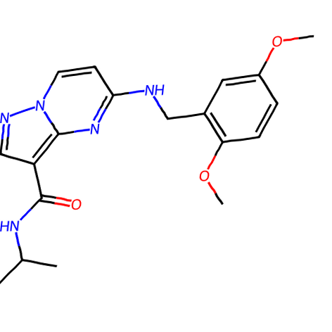 COc1ccc(OC)c(CNc2ccn3ncc(C(=O)NC(C)C)c3n2)c1